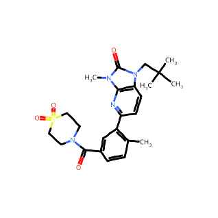 Cc1ccc(C(=O)N2CCS(=O)(=O)CC2)cc1-c1ccc2c(n1)n(C)c(=O)n2CC(C)(C)C